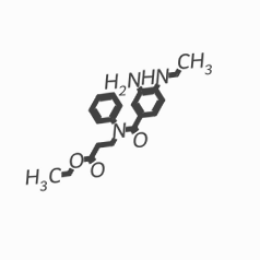 CCNc1ccc(C(=O)N(CCC(=O)OCC)c2ccccc2)cc1N